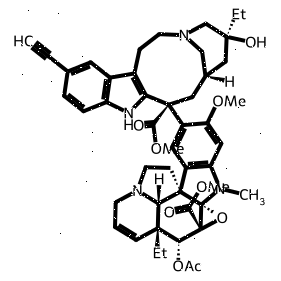 C#Cc1ccc2[nH]c3c(c2c1)CCN1C[C@H](C[C@@](O)(CC)C1)C[C@]3(C(=O)OC)c1cc2c(cc1OC)N(C)[C@@]13O[C@]1(C(=O)OC)[C@H](OC(C)=O)[C@]1(CC)C=CCN4CC[C@]23[C@@H]41